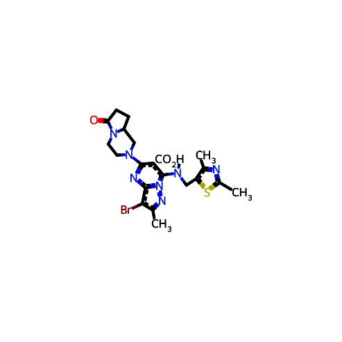 Cc1nc(C)c(CN(C(=O)O)c2cc(N3CCN4C(=O)CCC4C3)nc3c(Br)c(C)nn23)s1